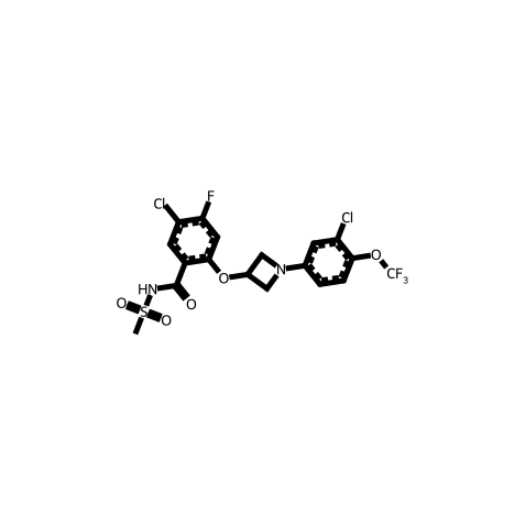 CS(=O)(=O)NC(=O)c1cc(Cl)c(F)cc1OC1CN(c2ccc(OC(F)(F)F)c(Cl)c2)C1